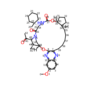 COc1ccc2nc3c(nc2c1)O[C@H]1CN(C(=O)[C@H](C2(C)CCCCC2)NC(=O)O[C@@H]2CCC[C@H]2CCCCC3)[C@H](C(C)=O)[C@@H]1C